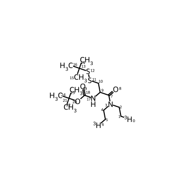 [3H]CCN(CC[3H])C(=O)C(CSSC(C)(C)C)NC(=O)OC(C)(C)C